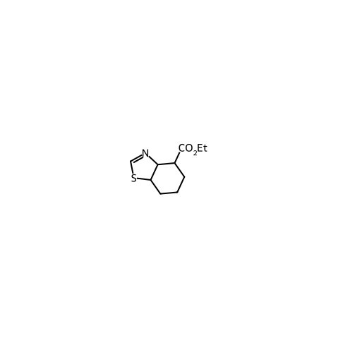 CCOC(=O)C1CCCC2SC=NC21